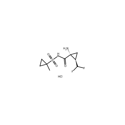 CC1(S(=O)(=O)NC(=O)[C@@]2(N)C[C@H]2C(F)F)CC1.Cl